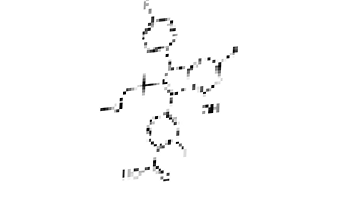 COCC(C)(C)c1c(-c2ccc(C(=O)O)c(F)c2)c2c(O)cc(F)cc2n1-c1ccc(F)cc1